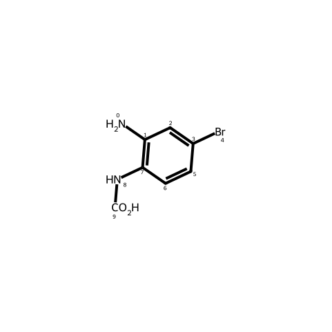 Nc1cc(Br)ccc1NC(=O)O